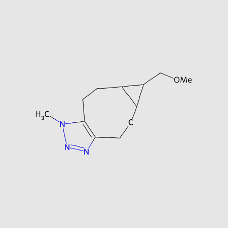 COCC1C2CCc3nnn(C)c3CCC21